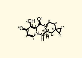 O=C1c2c(O)c(=O)ccn2N[C@@H]2CC3(CCN12)CC3